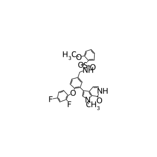 COc1ccccc1S(=O)(=O)NCc1ccc(Oc2ccc(F)cc2F)c(-c2cn(C)c3c(=O)[nH]ccc23)c1